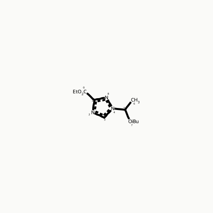 CCOC(=O)c1ncn(C(C)OCC(C)C)n1